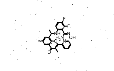 Cc1cc(C(C)Nc2ccc(F)c(F)c2C(N)=NO)c2oc(-c3ccccn3)c(C)c(=O)c2c1